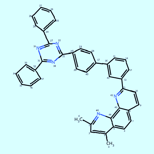 Cc1cc(C)c2ccc3ccc(-c4cccc(-c5ccc(-c6nc(-c7ccccc7)nc(-c7ccccc7)n6)cc5)c4)nc3c2n1